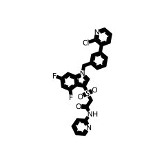 O=C(CS(=O)(=O)c1cn(Cc2cccc(-c3cccnc3Cl)c2)c2cc(F)cc(F)c12)Nc1ccccn1